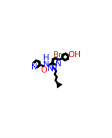 O=C(Nc1nn(CCCCC2CC2)c2nc(-c3ccc(O)cc3)c(Br)cc12)c1cccnc1